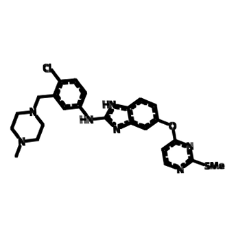 CSc1nccc(Oc2ccc3[nH]c(Nc4ccc(Cl)c(CN5CCN(C)CC5)c4)nc3c2)n1